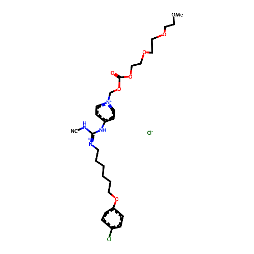 COCCOCCOCCOC(=O)OC[n+]1ccc(N/C(=N\CCCCCCOc2ccc(Cl)cc2)NC#N)cc1.[Cl-]